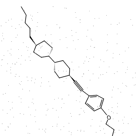 CCCCC[C@H]1CC[C@H]([C@H]2CC[C@H](C#Cc3ccc(OCCCC)cc3)CC2)CC1